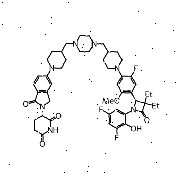 CCC1(CC)C(=O)N(c2cc(F)cc(F)c2O)[C@H]1c1cc(F)c(N2CCC(CN3CCN(CC4CCN(c5ccc6c(c5)CN([C@H]5CCC(=O)NC5=O)C6=O)CC4)CC3)CC2)cc1OC